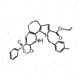 CCOC(=O)c1cc2c(n1Cc1ccc(C)cc1)C1=C(C=C(S(=O)(=O)c3ccccc3)C(OC)N1)CCC2